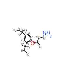 CCC(C)(C)c1ccc(OC(C)CCN)c(C(C)(C)CC)c1